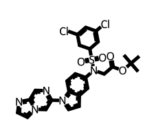 CC(C)(C)OC(=O)CN(c1ccc2c(ccn2-c2cn3ccnc3cn2)c1)S(=O)(=O)C1C=C(Cl)C=C(Cl)C1